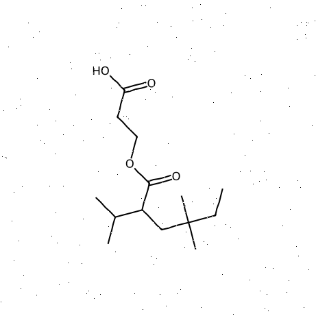 CCC(C)(C)CC(C(=O)OCCC(=O)O)C(C)C